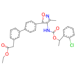 CCOC(=O)Cc1cccc(-c2ccc(-c3onc(C)c3NC(=O)OC(C)c3ccccc3Cl)cc2)c1